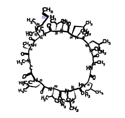 C/C=C/C[C@@H](C)[C@@H](O)[C@H]1C(=O)N[C@@H](CC)C(=O)N(C)CC(=O)N(C)[C@@H](CC(C)C)C(=O)N[C@@H](C(C)C)C(=O)N(C)[C@@H](CC(C)C)C(=O)N[C@@H](CC(C)C)C(=O)N[C@H](C)C(=O)N(C)[C@@H](CC(C)C)C(=O)N(C)[C@H](CC(C)C)C(=O)N(C)[C@@H](C(C)C)C(=O)N1C